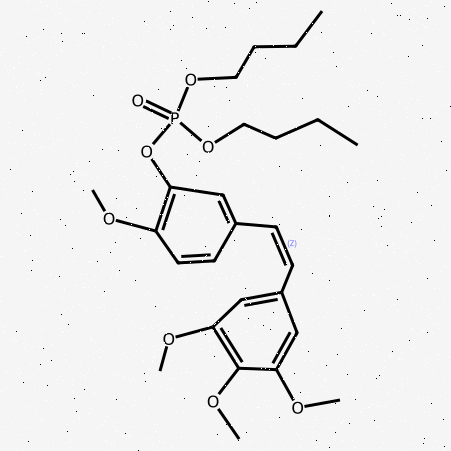 CCCCOP(=O)(OCCCC)Oc1cc(/C=C\c2cc(OC)c(OC)c(OC)c2)ccc1OC